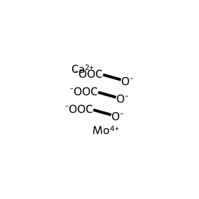 O=C([O-])[O-].O=C([O-])[O-].O=C([O-])[O-].[Ca+2].[Mo+4]